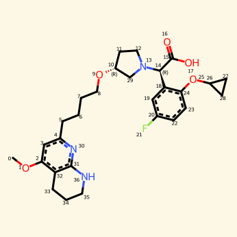 COc1cc(CCCCO[C@@H]2CCN([C@@H](C(=O)O)c3cc(F)ccc3OC3CC3)C2)nc2c1CCCN2